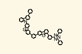 c1ccc(-c2ccc3c(c2)c2ccccc2n3-c2ccc3c(c2)oc2ccc(-c4cccc(-c5ccc6c(c5)oc5c(-c7cccc(-c8nc(-c9ccccc9)nc(-c9ccccc9)n8)c7)cccc56)c4)cc23)cc1